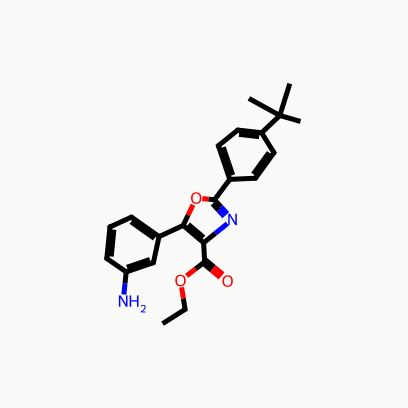 CCOC(=O)c1nc(-c2ccc(C(C)(C)C)cc2)oc1-c1cccc(N)c1